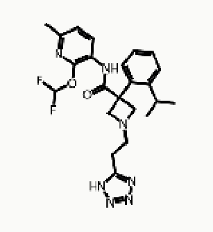 Cc1ccc(NC(=O)C2(c3ccccc3C(C)C)CN(CCc3nnn[nH]3)C2)c(OC(F)F)n1